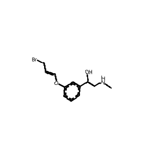 CNCC(O)c1cccc(OC=CCBr)c1